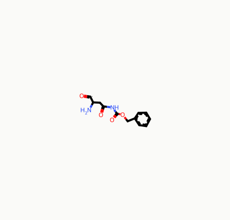 NC([C]=O)CC(=O)NC(=O)OCc1ccccc1